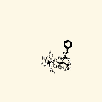 C[C@@H](O[Si](C)(C)C(C)(C)C)[C@H](NC(=O)OCc1ccccc1)C(=O)O